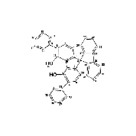 Oc1cc(C2(c3ccc(-c4ccccc4)c(O)c3)c3ccccc3-c3ccccc32)ccc1-c1ccccc1